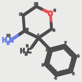 CC1(c2ccccc2)COCCC1N